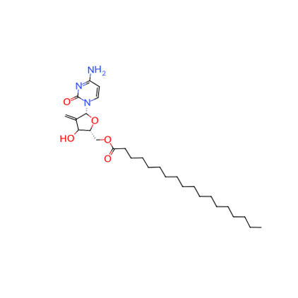 C=C1C(O)[C@@H](COC(=O)CCCCCCCCCCCCCCCCC)O[C@H]1n1ccc(N)nc1=O